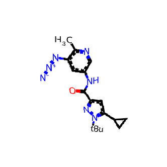 Cc1ncc(NC(=O)c2cc(C3CC3)n(C(C)(C)C)n2)cc1N=[N+]=[N-]